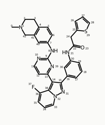 CN1CCc2ccc(Nc3nccc(-c4c(-c5cccc(NC(=O)Cc6cccs6)c5)nn5cccc(F)c45)n3)cc2C1